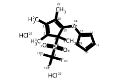 CC1=C(C)C(C)(S(=O)(=O)C(F)(F)F)[C]([Zr][C]2=CC=CC2)=C1C.Cl.Cl